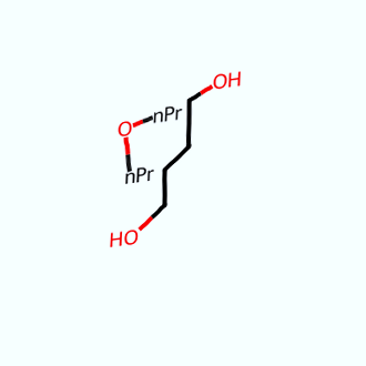 CCCOCCC.OCCCCO